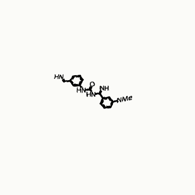 CNc1cccc(C(=N)NC(=O)Nc2cccc(C=N)c2)c1